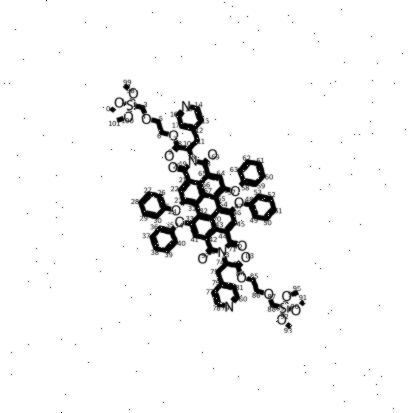 CO[Si](COCCOC(=O)C(Cc1ccncc1)N1C(=O)c2cc(Oc3ccccc3)c3c4c(Oc5ccccc5)cc5c6c(cc(Oc7ccccc7)c(c7c(Oc8ccccc8)cc(c2c37)C1=O)c64)C(=O)N(C(Cc1ccncc1)C(=O)OCCOC[Si](OC)(OC)OC)C5=O)(OC)OC